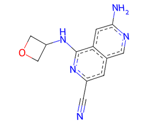 N#Cc1cc2cnc(N)cc2c(NC2COC2)n1